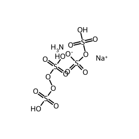 N.O=S(=O)(O)OOS(=O)(=O)O.O=S(=O)([O-])OS(=O)(=O)O.[Na+]